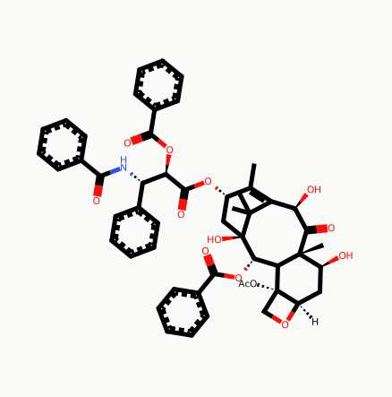 CC(=O)O[C@@]12CO[C@@H]1C[C@H](O)[C@@]1(C)C(=O)[C@H](O)C3=C(C)[C@@H](OC(=O)[C@H](OC(=O)c4ccccc4)[C@@H](NC(=O)c4ccccc4)c4ccccc4)C[C@@](O)([C@@H](OC(=O)c4ccccc4)C12)C3(C)C